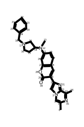 Cc1cn2cc(-c3cc4ccc(N(C)C5CCN(Cc6ccccc6)C5)cc4oc3=O)nc2c(C)n1